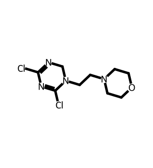 ClC1=NCN(CCN2CCOCC2)C(Cl)=N1